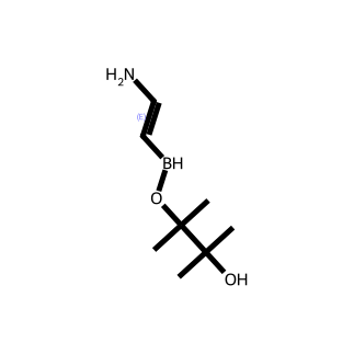 CC(C)(O)C(C)(C)OB/C=C/N